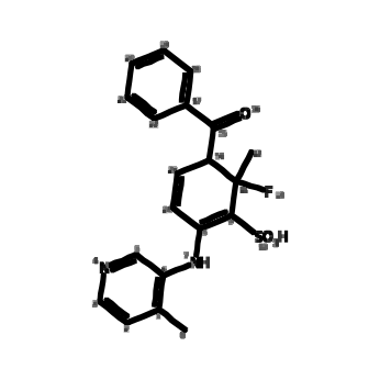 Cc1ccncc1NC1=C(S(=O)(=O)O)C(C)(F)C(C(=O)c2ccccc2)C=C1